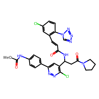 COC(=O)Nc1ccc(-c2cc(C(CC(=O)N3CCCC3)NC(=O)C=Cc3cc(Cl)ccc3-n3cnnn3)c(Cl)nn2)cc1